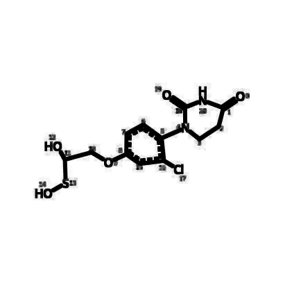 O=C1CCN(c2ccc(OCC(O)SO)cc2Cl)C(=O)N1